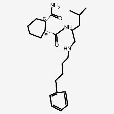 CC(C)CC(CNCCCCc1ccccc1)NC(=O)[C@@H]1CCCC[C@@H]1C(N)=O